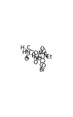 CCN(c1cc2oc(Br)cc2c(C(=O)NCC2=C(OC)C=C(C)NC2=C=O)c1C)C1CCOCC1